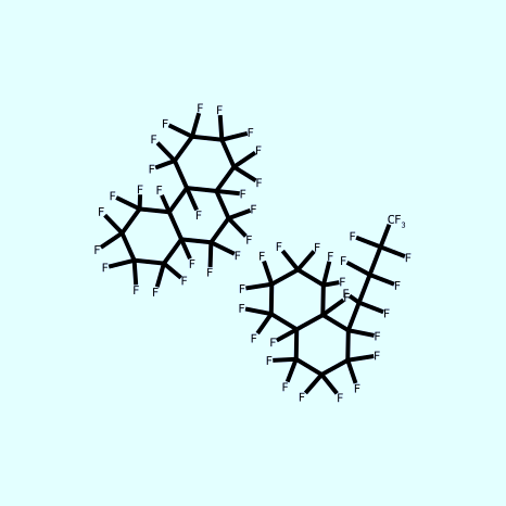 FC(F)(F)C(F)(F)C(F)(F)C(F)(F)C1(F)C(F)(F)C(F)(F)C(F)(F)C2(F)C(F)(F)C(F)(F)C(F)(F)C(F)(F)C12F.FC1(F)C(F)(F)C(F)(F)C2(F)C(F)(C1(F)F)C(F)(F)C(F)(F)C1(F)C(F)(F)C(F)(F)C(F)(F)C(F)(F)C12F